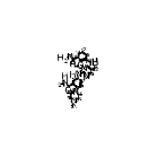 CNC(=O)c1cc(Nc2ncc(F)c(Nc3cccc(C(N)=O)c3OC)n2)ccc1N1CCN(C)CC1